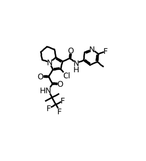 Cc1cc(NC(=O)c2c(Cl)c(C(=O)C(=O)NC(C)(C)C(F)(F)F)n3c2CCCC3)cnc1F